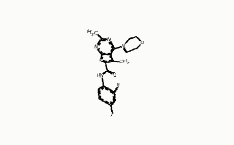 Cc1nc(N2CCOCC2)c2c(C)c(C(=O)Nc3ccc(F)cc3F)sc2n1